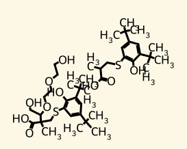 CC(C)(C)c1cc(SCC(C)(C(=O)O)C(CO)OCCOCCO)c(O)c(C(C)(C)C)c1.CC(CSc1cc(C(C)(C)C)cc(C(C)(C)C)c1O)C(=O)O